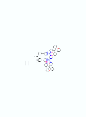 C=Cc1cccc(-c2ccc(N(c3cccc(N(c4ccc(-c5cccc(C=C)c5)cc4)c4ccc5c(c4)C4(c6ccccc6-c6ccccc64)c4ccccc4-5)c3)c3ccc4c(c3)C3(c5ccccc5-c5ccccc53)c3ccccc3-4)cc2)c1